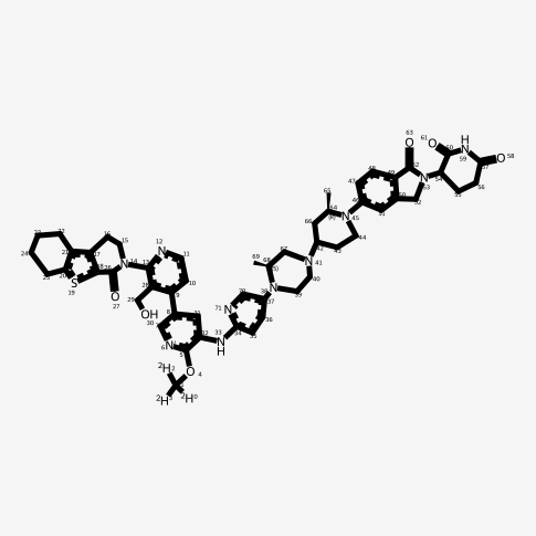 [2H]C([2H])([2H])Oc1ncc(-c2ccnc(N3CCc4c(sc5c4CCCC5)C3=O)c2CO)cc1Nc1ccc(N2CCN(C3CCN(c4ccc5c(c4)CN(C4CCC(=O)NC4=O)C5=O)[C@H](C)C3)C[C@@H]2C)cn1